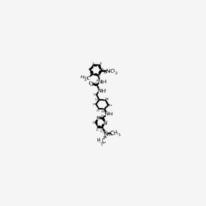 Cc1cccc([N+](=O)[O-])c1NC(=O)NCC1CCC(Nc2nccc(N(C)C)n2)CC1